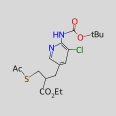 CCOC(=O)C(CSC(C)=O)Cc1cnc(NC(=O)OC(C)(C)C)c(Cl)c1